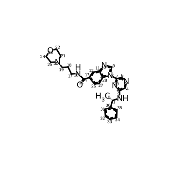 C[C@H](Nc1cncc(-n2cnc3cc(C(=O)NCCCN4CCOCC4)ccc32)n1)c1ccccc1